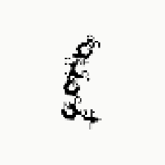 COc1c(C(=O)NC2(C)CCS(=O)(=O)CC2)nc2ccc(Oc3ncccc3OCC(F)(F)F)cn12